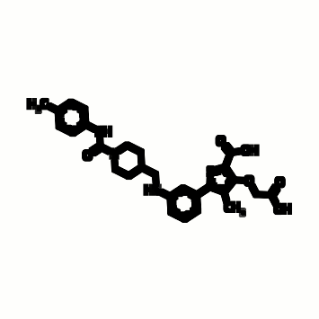 Cc1ccc(NC(=O)N2CCC(CNc3cccc(-c4sc(C(=O)O)c(OCC(=O)O)c4C)c3)CC2)cc1